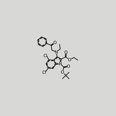 CCOC(=O)c1c(N(CC)CC(=O)c2ccccc2)c2c(Cl)cc(Cl)cc2n1C(=O)OC(C)(C)C